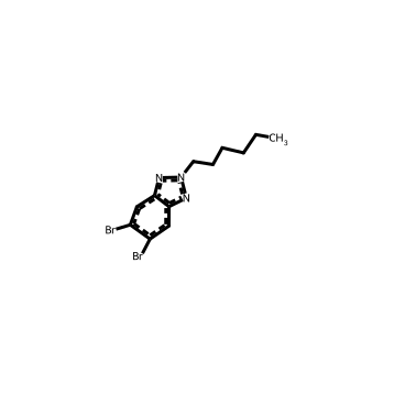 CCCCCCn1nc2cc(Br)c(Br)cc2n1